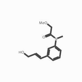 COCC(=O)N(C)c1cccc(/C=C/CO)c1